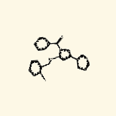 O=C(c1ccccc1)n1nc(-c2cccnc2)cc1NCc1ccccc1F